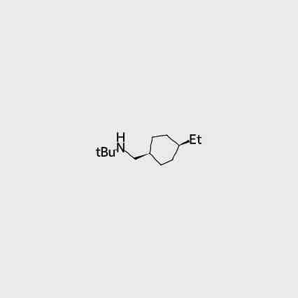 CC[C@H]1CC[C@@H](CNC(C)(C)C)CC1